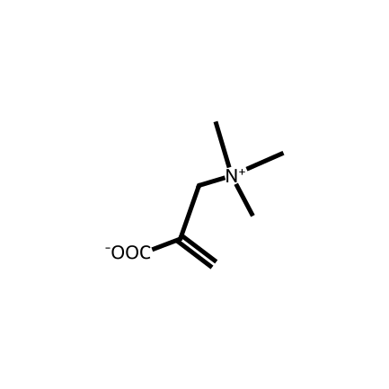 C=C(C[N+](C)(C)C)C(=O)[O-]